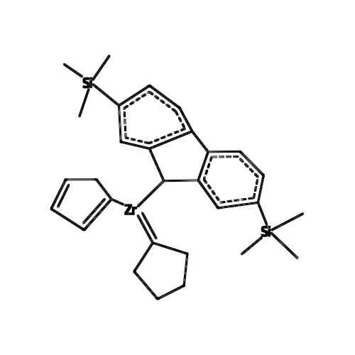 C[Si](C)(C)c1ccc2c(c1)[CH]([Zr]([C]1=CC=CC1)=[C]1CCCC1)c1cc([Si](C)(C)C)ccc1-2